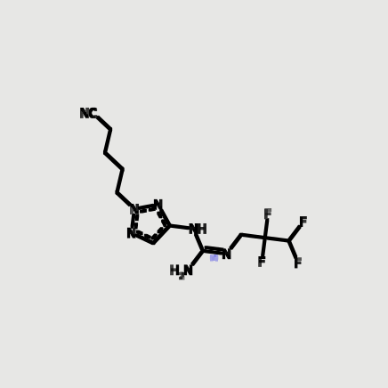 N#CCCCCn1ncc(N/C(N)=N\CC(F)(F)C(F)F)n1